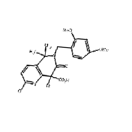 CCC1(C(=O)O)C(=O)N(Cc2ccc(OC)cc2OC)C(C)(C)c2ccc(Cl)nc21